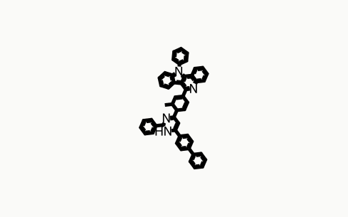 CC1C=C(c2nc3ccccc3c3c2c2ccccc2n3-c2ccccc2)C=CC1C1=NC(c2ccccc2)NC(c2ccc(-c3ccccc3)cc2)=C1